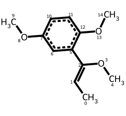 CC=C(OC)c1cc(OC)ccc1OC